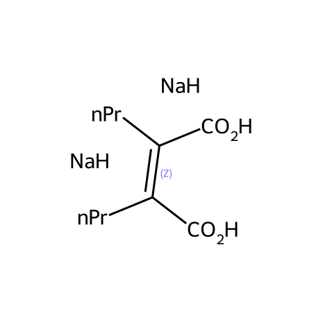 CCC/C(C(=O)O)=C(\CCC)C(=O)O.[NaH].[NaH]